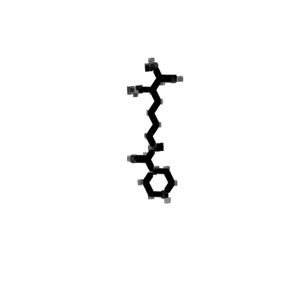 NC(CCCCNC(=O)N1CCOCC1)C(=O)O